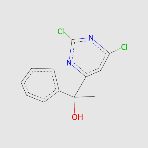 CC(O)(c1ccccc1)c1cc(Cl)nc(Cl)n1